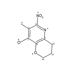 Cc1c([N+](=O)[O-])nc2c(c1Cl)OCCC2